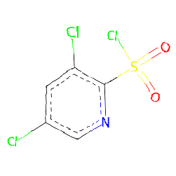 O=S(=O)(Cl)c1ncc(Cl)cc1Cl